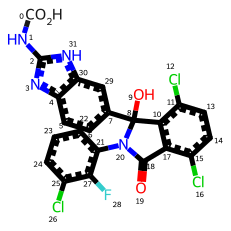 O=C(O)Nc1nc2ccc(C3(O)c4c(Cl)ccc(Cl)c4C(=O)N3c3cccc(Cl)c3F)cc2[nH]1